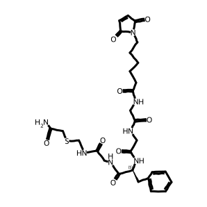 NC(=O)CSCNC(=O)CNC(=O)[C@H](Cc1ccccc1)NC(=O)CNC(=O)CNC(=O)CCCCCN1C(=O)C=CC1=O